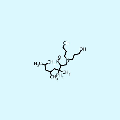 CC(C)CC(C)CC(C)(P)C(CN(CCCO)CCCO)N=O